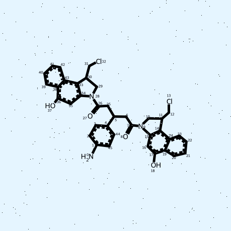 Nc1ccc(C(CC(=O)N2CC(CCl)c3c2cc(O)c2ccccc32)CC(=O)N2CC(CCl)c3c2cc(O)c2ccccc32)cc1